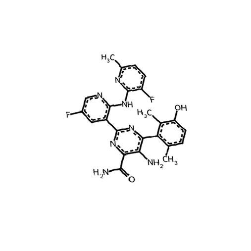 Cc1ccc(F)c(Nc2ncc(F)cc2-c2nc(C(N)=O)c(N)c(-c3c(C)ccc(O)c3C)n2)n1